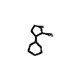 C[C@@H]1NCC[C@@H]1N1CCCCC1